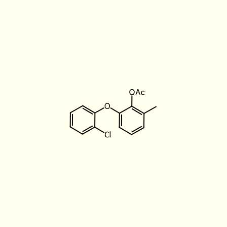 CC(=O)Oc1c(C)cccc1Oc1ccccc1Cl